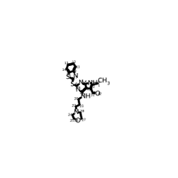 CCc1[nH]c2nc(Sc3nc4ccccc4s3)nc(NCCCN3CCOCC3)c2c1C=O